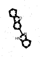 c1ccc2[nH]c(-c3ccc4c(c3)oc3ccccc34)nc2c1